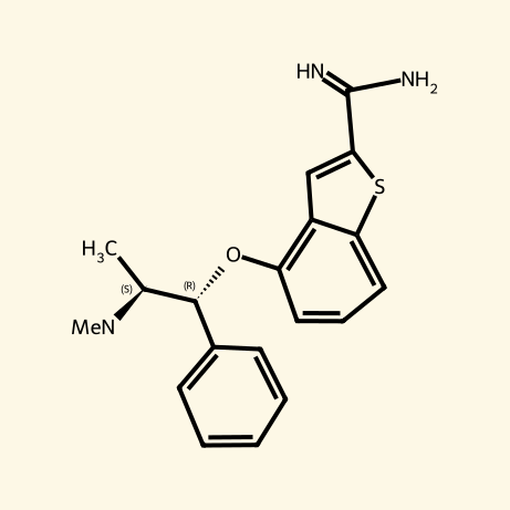 CN[C@@H](C)[C@H](Oc1cccc2sc(C(=N)N)cc12)c1ccccc1